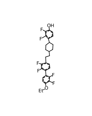 CCOc1ccc(-c2ccc(CCC3CCC(c4ccc(O)c(F)c4F)CC3)c(F)c2F)c(F)c1F